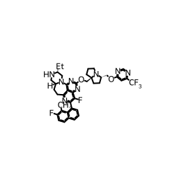 CC[C@@H]1CN2c3nc(OC[C@@]45CCCN4[C@H](COc4cc(C(F)(F)F)ncn4)CC5)nc4c(F)c(-c5cccc6ccc(F)c(C)c56)nc(c34)CC[C@@H]2CN1